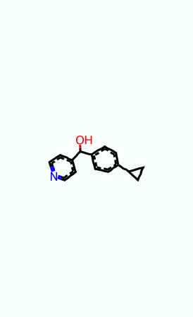 OC(c1ccncc1)c1ccc(C2CC2)cc1